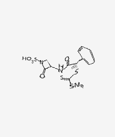 CSC(=S)S[C@H](C(=O)NC1CN(S(=O)(=O)O)C1=O)c1ccccc1